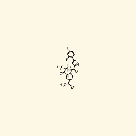 C[C@@H](C1CC1)N1CC[C@H](NC(=O)c2cc(-c3ccc(F)cc3F)on2)[C@@H](C(=O)N(C)C)C1